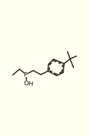 CCP(O)CCc1ccc(C(C)(C)C)cc1